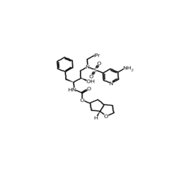 CC(C)CN(C[C@@H](O)[C@H](Cc1ccccc1)NC(=O)OC1CC2CCO[C@@H]2C1)S(=O)(=O)c1cncc(N)c1